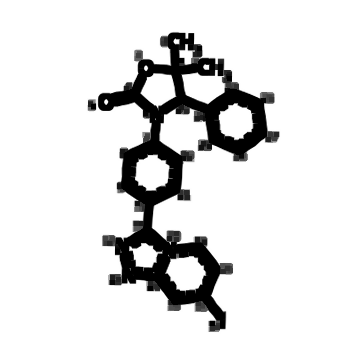 CC1(C)OC(=O)N(c2ccc(-c3nnc4cc(I)ccn34)cc2)C1c1ccccc1